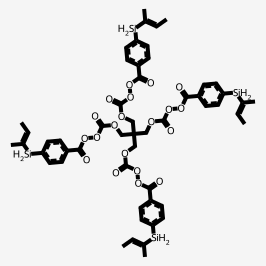 CC=C(C)[SiH2]c1ccc(C(=O)OOC(=O)OCC(COC(=O)OOC(=O)c2ccc([SiH2]C(C)=CC)cc2)(COC(=O)OOC(=O)c2ccc([SiH2]C(C)=CC)cc2)COC(=O)OOC(=O)c2ccc([SiH2]C(C)=CC)cc2)cc1